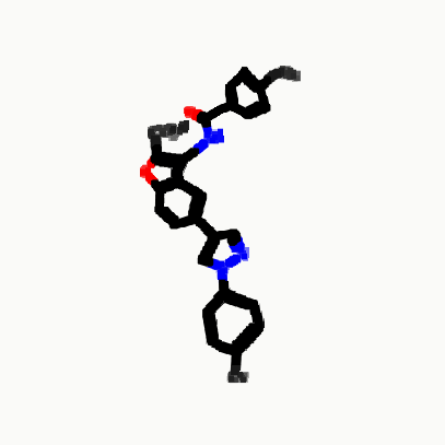 CC(C)(C)c1ccc(C(=O)Nc2c(C(=O)O)oc3ccc(-c4cnn(-c5ccc(C#N)cc5)c4)cc23)cc1